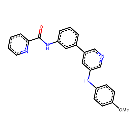 COc1ccc(Nc2cncc(-c3cccc(NC(=O)c4ccccn4)c3)c2)cc1